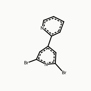 Brc1cc(-c2ccccn2)cc(Br)n1